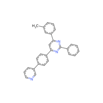 Cc1cccc(-c2cc(-c3ccc(-c4cccnc4)cc3)nc(-c3ccccc3)n2)c1